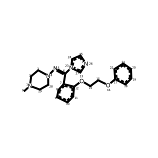 CN1CCN(/N=C(\c2ccccc2OCCOc2ccccc2)n2ccnc2)CC1